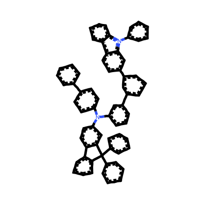 c1ccc(-c2ccc(N(c3cccc(-c4cccc(-c5ccc6c7ccccc7n(-c7ccccc7)c6c5)c4)c3)c3ccc4c(c3)C(c3ccccc3)(c3ccccc3)c3ccccc3-4)cc2)cc1